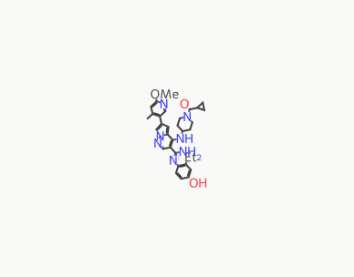 CCc1cc(O)ccc1/N=C(\N)c1cnn2cc(-c3cnc(OC)cc3C)cc2c1NC1CCN(C(=O)C2CC2)CC1